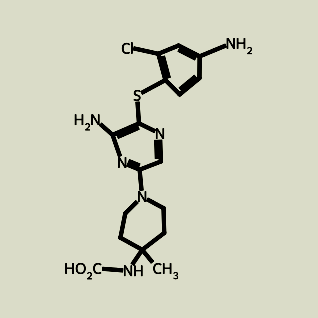 CC1(NC(=O)O)CCN(c2cnc(Sc3ccc(N)cc3Cl)c(N)n2)CC1